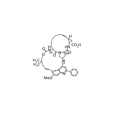 COc1cc2nc(-c3ccccc3)cc3c2cc1/C=C/CC(C)(C)COC(=O)N[C@H]1CCCCC/C=C\[C@@H]2C[C@@]2(C(=O)O)NC(=O)[C@@H]2C[C@H](CN2C1=O)O3